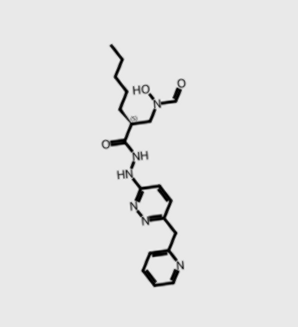 CCCCC[C@@H](CN(O)C=O)C(=O)NNc1ccc(Cc2ccccn2)nn1